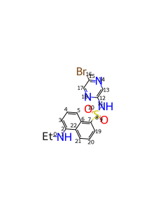 CCNc1cccc2c(S(=O)(=O)Nc3cnc(Br)cn3)cccc12